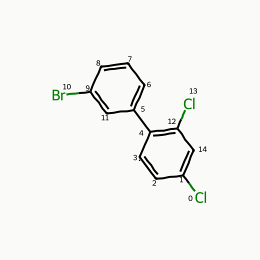 Clc1c[c]c(-c2cccc(Br)c2)c(Cl)c1